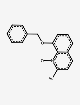 CC(=O)c1ccc2cccc(OCc3ccccc3)c2[n+]1[O-]